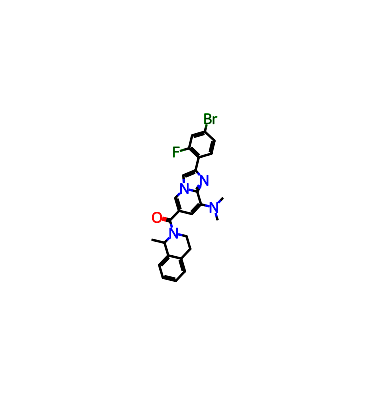 CC1c2ccccc2CCN1C(=O)c1cc(N(C)C)c2nc(-c3ccc(Br)cc3F)cn2c1